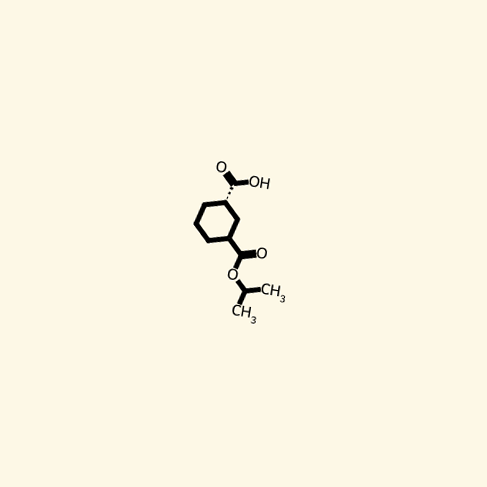 CC(C)OC(=O)C1CCC[C@H](C(=O)O)C1